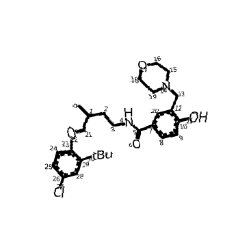 CC(CCNC(=O)c1ccc(O)c(CN2CCOCC2)c1)COc1ccc(Cl)cc1C(C)(C)C